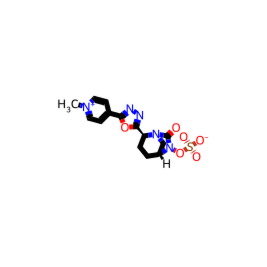 C[n+]1ccc(-c2nnc([C@@H]3CC[C@@H]4CN3C(=O)N4OS(=O)(=O)[O-])o2)cc1